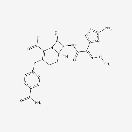 CO/N=C(/C(=O)N[C@@H]1C(=O)N2C(C(=O)[O-])=C(C[n+]3ccc(C(N)=O)cc3)CS[C@H]12)c1coc(N)n1